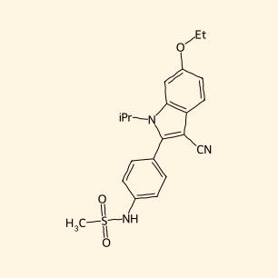 CCOc1ccc2c(C#N)c(-c3ccc(NS(C)(=O)=O)cc3)n(C(C)C)c2c1